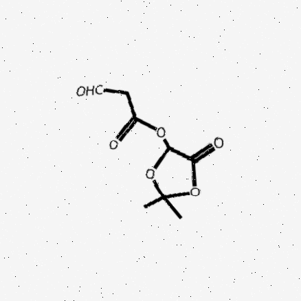 CC1(C)OC(=O)C(OC(=O)CC=O)O1